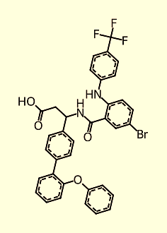 O=C(O)CC(NC(=O)c1cc(Br)ccc1Nc1ccc(C(F)(F)F)cc1)c1ccc(-c2ccccc2Oc2ccccc2)cc1